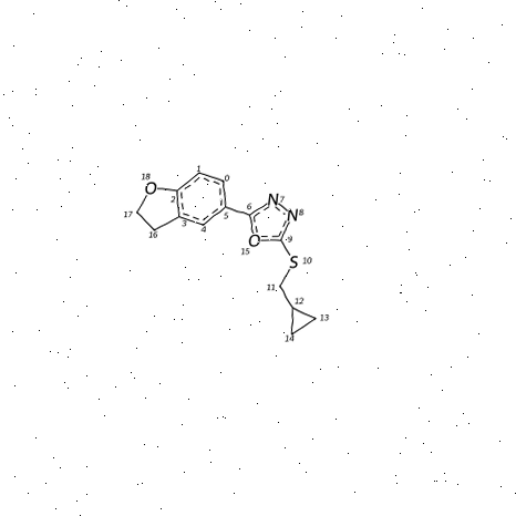 c1cc2c(cc1-c1nnc(SCC3CC3)o1)CCO2